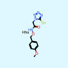 COc1ccc(CONC(=O)Cn2nnnc2S)cc1.[NaH]